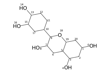 OC1CC(O)C2CC(O)C(C3CCC(O)C(O)C3)OC2C1